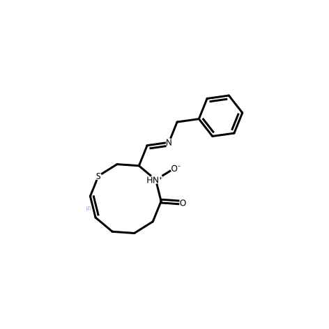 O=C1CCC/C=C\SCC(C=NCc2ccccc2)[NH+]1[O-]